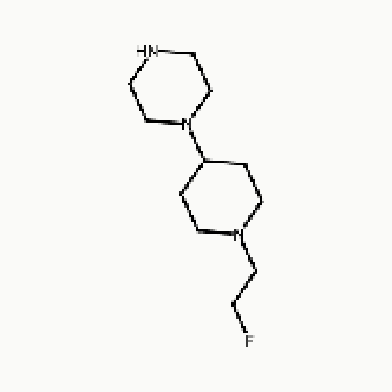 FCCN1CCC(N2CCNCC2)CC1